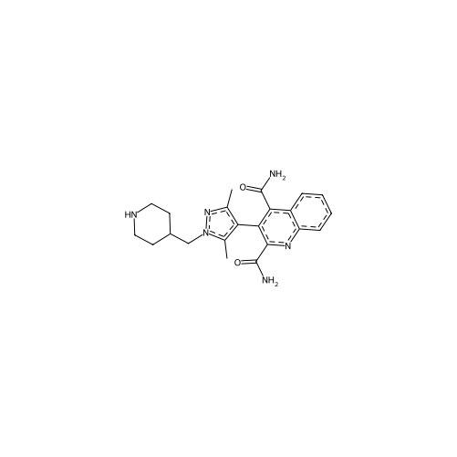 Cc1nn(CC2CCNCC2)c(C)c1-c1c(C(N)=O)nc2ccccc2c1C(N)=O